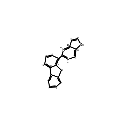 c1ccc2c(c1)Cc1c(-c3ncc4sccc4n3)cccc1-2